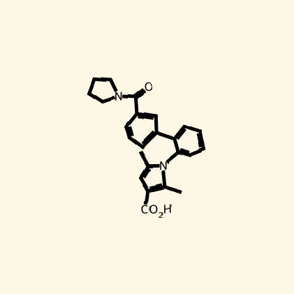 Cc1cc(C(=O)O)c(C)n1-c1ccccc1-c1cccc(C(=O)N2CCCC2)c1